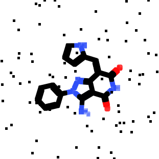 Nc1c2c(nn1-c1ccccc1)/C(=C\c1ccc[nH]1)C(=O)NC2=O